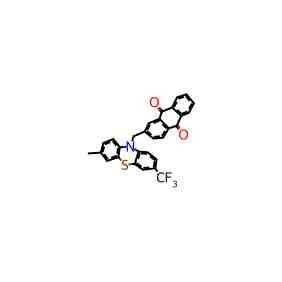 Cc1ccc2c(c1)Sc1cc(C(F)(F)F)ccc1N2Cc1ccc2c(c1)C(=O)c1ccccc1C2=O